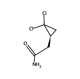 NC(=O)[CH][C@@H]1CC1(Cl)Cl